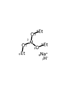 CC[O][Al]([O]CC)[O]CC.[H-].[Na+]